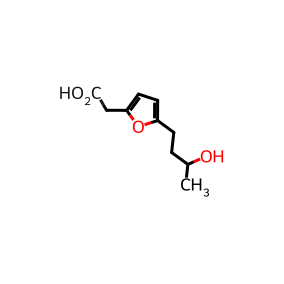 CC(O)CCc1ccc(CC(=O)O)o1